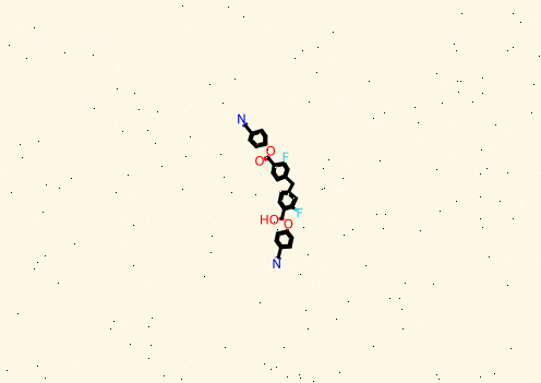 N#Cc1ccc(OC(=O)c2ccc(Cc3ccc(C(O)Oc4ccc(C#N)cc4)c(F)c3)cc2F)cc1